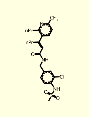 CCC/C(=C\C(=O)NCc1ccc(NS(C)(=O)=O)c(Cl)c1)c1ccc(C(F)(F)F)nc1CCC